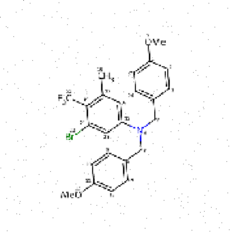 COc1ccc(CN(Cc2ccc(OC)cc2)c2cc(C)c(C(F)(F)F)c(Br)c2)cc1